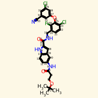 CC(C)(C)OCCC(=O)Nc1ccc2[nH]c(C(=O)NCc3ccc(Cl)c(Oc4cc(Cl)cc(C#N)c4)c3F)cc2c1